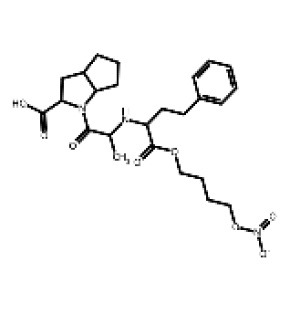 CC(NC(CCc1ccccc1)C(=O)OCCCCO[N+](=O)[O-])C(=O)N1C(C(=O)O)CC2CCCC21